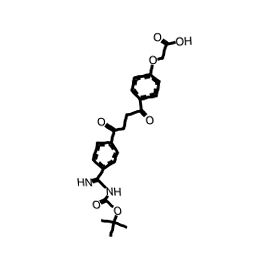 CC(C)(C)OC(=O)NC(=N)c1ccc(C(=O)CCC(=O)c2ccc(OCC(=O)O)cc2)cc1